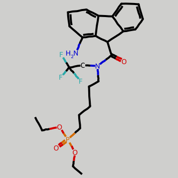 CCOP(=O)(CCCCCN(CC(F)(F)F)C(=O)C1c2ccccc2-c2cccc(N)c21)OCC